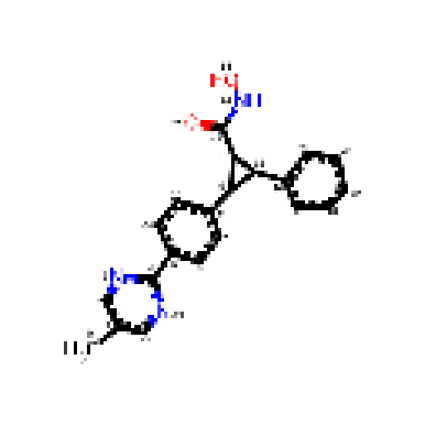 Cc1cnc(-c2ccc(C3C(C(=O)NO)C3c3ccccc3)cc2)nc1